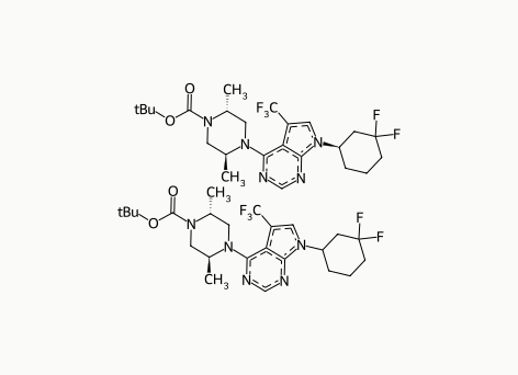 C[C@@H]1CN(c2ncnc3c2c(C(F)(F)F)cn3C2CCCC(F)(F)C2)[C@@H](C)CN1C(=O)OC(C)(C)C.C[C@@H]1CN(c2ncnc3c2c(C(F)(F)F)cn3[C@@H]2CCCC(F)(F)C2)[C@@H](C)CN1C(=O)OC(C)(C)C